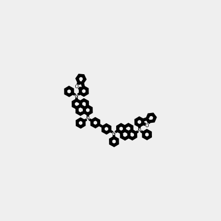 c1ccc(N(c2ccc(-c3ccc(N(c4ccccc4)c4ccc5ccc6c(N(c7ccccc7)c7cccc8c7oc7ccccc78)ccc7ccc4c5c76)cc3)cc2)c2ccc3ccc4c(N(c5ccccc5)c5cccc6c5oc5ccccc56)ccc5ccc2c3c54)cc1